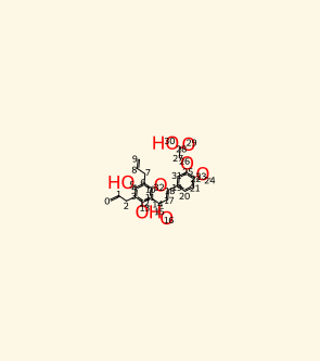 C=CCc1c(O)c(CC=C)c2c(c1O)C(C=O)C=C(c1ccc(OC)c(OCC(=O)O)c1)O2